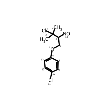 CC(C)(Cl)C(COc1ccc(Cl)cc1)N=O